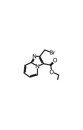 CCOC(=O)c1c(CBr)nc2ccccn12